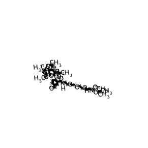 COC(=O)[C@H]1O[C@H](Oc2ccc(C=O)cc2C(=O)NCCOCCOCCOCCNC(=O)OC(C)(C)C)[C@H](OC(C)=O)[C@@H](OC(C)=O)[C@@H]1OC(C)=O